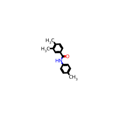 Cc1ccc(NC(=O)c2ccc(C)c(C)c2)cc1